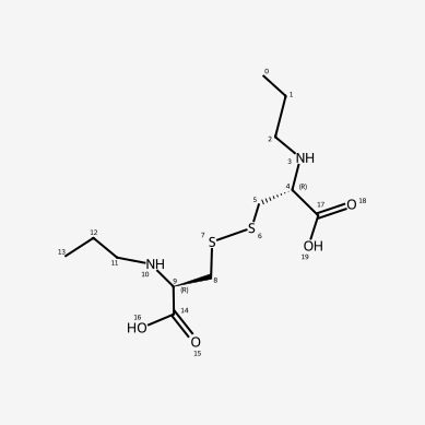 CCCN[C@@H](CSSC[C@H](NCCC)C(=O)O)C(=O)O